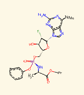 CNc1nc(N)nc2c1ncn2[C@@H]1O[C@H](CO[P@](=O)(N[C@H](C)C(=O)OC(C)C)Oc2ccccc2)[C@@H](O)[C@@H]1F